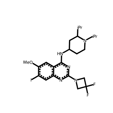 COc1cc2c(NC3CCN(C(C)C)C(C(C)C)C3)nc(N3CC(F)(F)C3)nc2cc1I